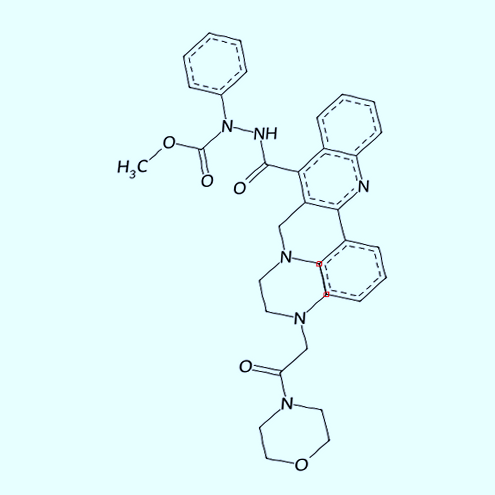 COC(=O)N(NC(=O)c1c(CN2CCN(CC(=O)N3CCOCC3)CC2)c(-c2ccccc2)nc2ccccc12)c1ccccc1